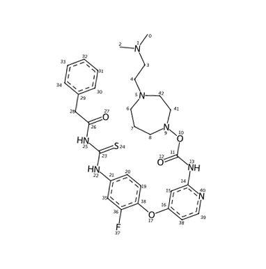 CN(C)CCN1CCCN(OC(=O)Nc2cc(Oc3ccc(NC(=S)NC(=O)Cc4ccccc4)cc3F)ccn2)CC1